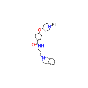 CCN1CCC(OC2C=CC(C(=O)NCCCN3CCc4ccccc4C3)=CC2)CC1